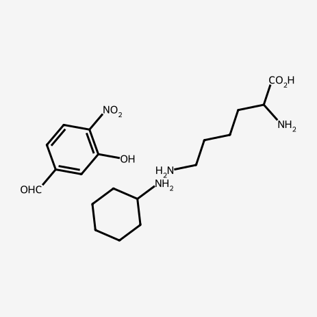 NC1CCCCC1.NCCCCC(N)C(=O)O.O=Cc1ccc([N+](=O)[O-])c(O)c1